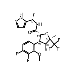 COc1c([C@H]2[C@H](C(=O)N[C@@H](C)c3ccn[nH]3)O[C@@](C)(C(F)(F)F)[C@H]2C)ccc(F)c1F